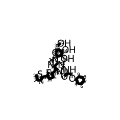 O=C(COc1ccccc1)Nc1nc(-c2ccc(-c3cccs3)s2)c2ncn([C@@H]3O[C@H](CO)[C@@H](O)[C@H]3O)c2n1